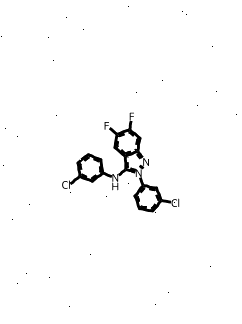 Fc1cc2nn(-c3cccc(Cl)c3)c(Nc3cccc(Cl)c3)c2cc1F